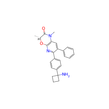 C[C@H]1Oc2nc(-c3ccc(C4(N)CCC4)cc3)c(-c3ccccc3)cc2N(C)C1=O